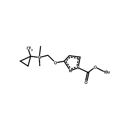 CC(C)(C)OC(=O)n1ccc(OC[Si](C)(C)C2(C(F)(F)F)CC2)n1